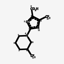 O=C(O)c1oc(N2CCCC(C(F)(F)F)C2)nc1C(F)(F)F